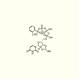 CCCCC1OC2[C@@H](COP(=O)(O)OP(=O)(O)OP(=O)(O)OP(=O)(O)c3ccccc3I)O[C@@H](n3ccc(=O)[nH]c3=O)[C@H]2O1